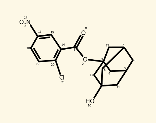 O=C(OC12CC3CC(CC(O)(C3)C1)C2)c1cc([N+](=O)[O-])ccc1Cl